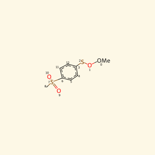 COOSc1ccc(S(C)(=O)=O)cc1